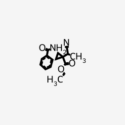 CCOC(=O)C1(C(C)C#N)CC1.NC(=O)c1ccccc1